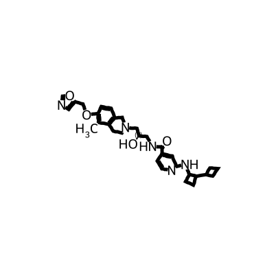 Cc1c(OCc2cnco2)ccc2c1CCN(C[C@@H](O)CNC(=O)c1ccnc(NC3CCC3C3CCC3)c1)C2